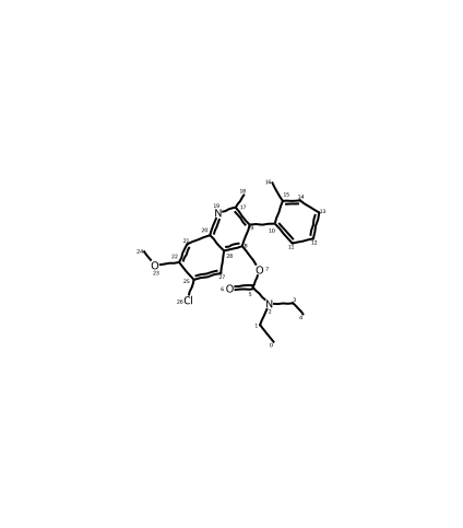 CCN(CC)C(=O)Oc1c(-c2ccccc2C)c(C)nc2cc(OC)c(Cl)cc12